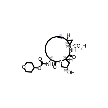 O=C(N[C@H]1CCCCC/C=C\[C@@H]2C[C@@]2(C(=O)O)NC(=O)[C@@H]2C[C@@H](O)CN2C1=O)OC1CCOCC1